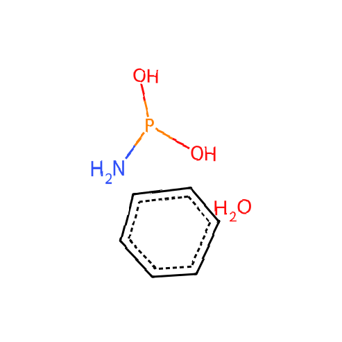 NP(O)O.O.c1ccccc1